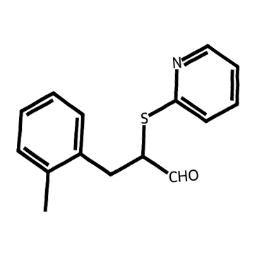 Cc1ccccc1CC(C=O)Sc1ccccn1